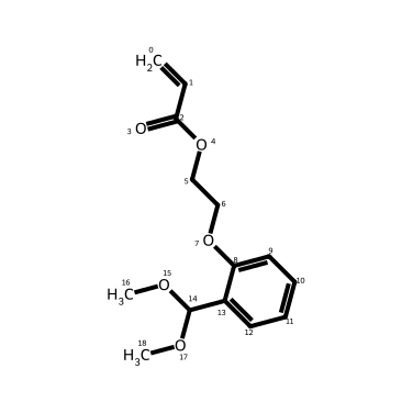 C=CC(=O)OCCOc1ccccc1C(OC)OC